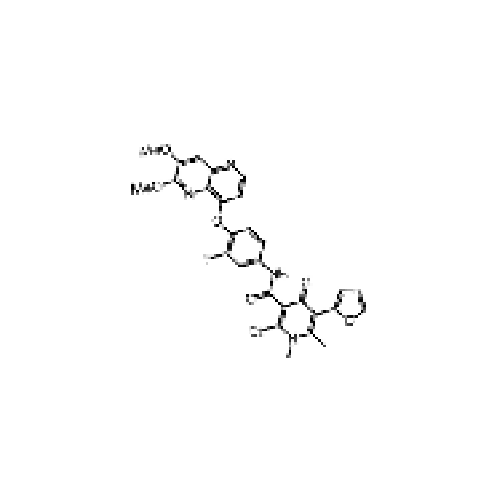 CCc1c(C(=O)Nc2ccc(Oc3ccnc4cc(OC)c(OC)nc34)c(F)c2)c(=O)c(-c2ccco2)c(C)n1C